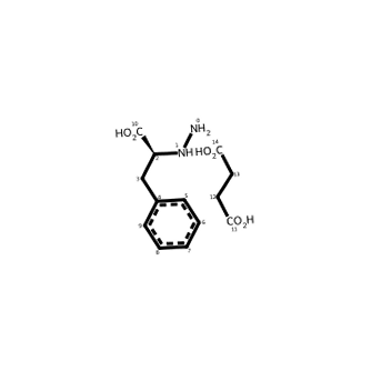 NN[C@@H](Cc1ccccc1)C(=O)O.O=C(O)CCC(=O)O